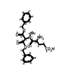 CC(C)(C)N(C(=O)[C@@H](N)CCC(=O)O)C(C(=O)OCc1ccccc1)C(=O)OCc1ccccc1